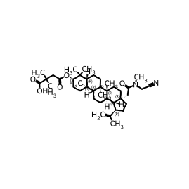 C=C(C)[C@@H]1CC[C@]2(CC(=O)N(C)CC#N)CC[C@]3(C)[C@H](CC[C@@H]4[C@@]5(C)CC[C@H](OC(=O)CC(C)(C)C(=O)O)C(C)(C)[C@@H]5CC[C@]43C)[C@@H]12